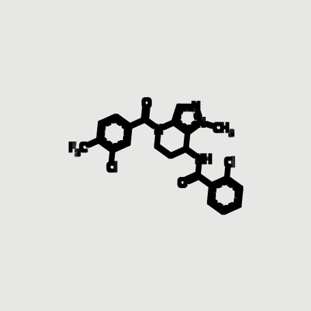 Cn1ncc2c1C(NC(=O)c1ccccc1Cl)CCN2C(=O)c1ccc(C(F)(F)F)c(Cl)c1